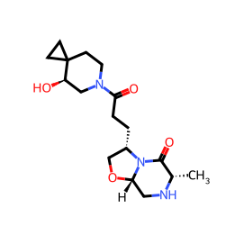 C[C@@H]1NC[C@@H]2OC[C@H](CCC(=O)N3CCC4(CC4)[C@H](O)C3)N2C1=O